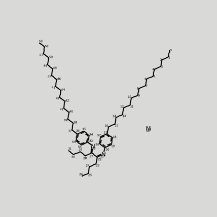 CCCCCCCCCCCCCCCCCc1ccc(N=C(CCCC)C(CCCC)=Nc2ccc(CCCCCCCCCCCCCCCCC)cc2)cc1.[Ni]